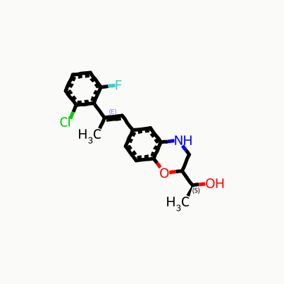 C/C(=C\c1ccc2c(c1)NCC([C@H](C)O)O2)c1c(F)cccc1Cl